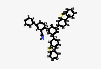 N#Cc1cc(-c2ccccc2)ccc1-c1cc(-c2ccc3c(c2)sc2ccccc23)cc(-c2ccc3c(c2)sc2ccccc23)c1